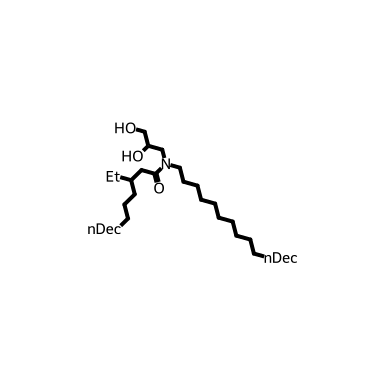 CCCCCCCCCCCCCCCCCCCCN(CC(O)CO)C(=O)CC(CC)CCCCCCCCCCCCC